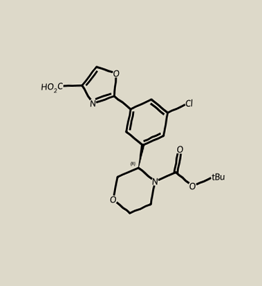 CC(C)(C)OC(=O)N1CCOC[C@H]1c1cc(Cl)cc(-c2nc(C(=O)O)co2)c1